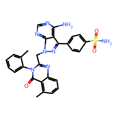 Cc1ccccc1-n1c(Cn2nc(-c3ccc(S(N)(=O)=O)cc3)c3c(N)ncnc32)nc2cccc(C)c2c1=O